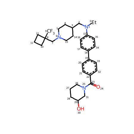 CCN(CC1CCN(CC2(C(F)(F)F)CCC2)CC1)c1ccc(-c2ccc(C(=O)N3CCCC(O)C3)cc2)cc1